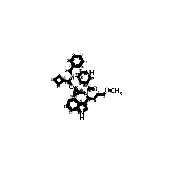 COCCCC(c1c[nH]c2ccccc12)N(C(=O)[C@H]1CNC[C@@H](N(Cc2ccccc2)C(=O)C2CCC2)C1)C1CC1